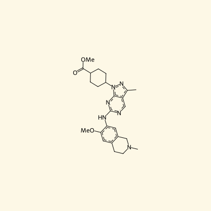 COC(=O)C1CCC(n2nc(C)c3cnc(Nc4cc5c(cc4OC)CCN(C)C5)nc32)CC1